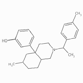 Cc1ccc(C(C)N2CCC3(c4cccc(O)c4)CC(C)CCC3C2)cc1